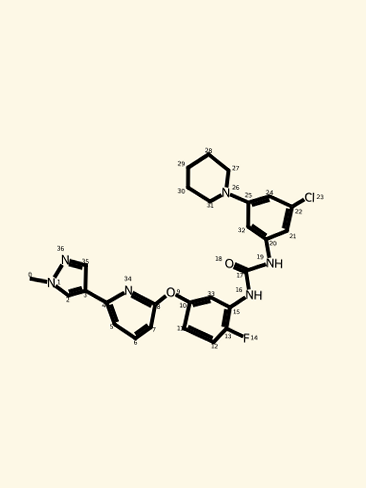 Cn1cc(-c2cccc(Oc3ccc(F)c(NC(=O)Nc4cc(Cl)cc(N5CCCCC5)c4)c3)n2)cn1